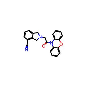 N#Cc1cccc2c1CN(CC(=O)N1c3ccccc3Oc3ccccc31)C2